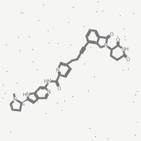 CN1CCC[C@@H]1c1cc2cnc(NC(=O)c3ccc(CCC#Cc4cccc5c4CN(C4CCC(=O)NC4=O)C5=O)cn3)cc2[nH]1